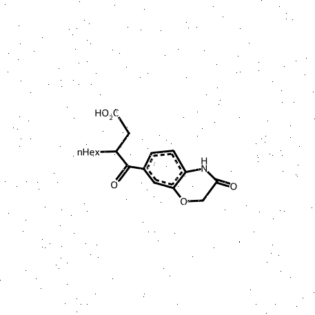 CCCCCCC(CC(=O)O)C(=O)c1ccc2c(c1)OCC(=O)N2